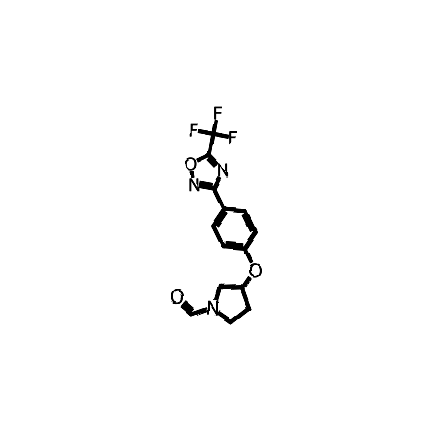 O=CN1CCC(Oc2ccc(-c3noc(C(F)(F)F)n3)cc2)C1